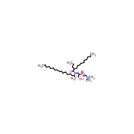 CCCCCCCCCCCCCCCC(C)N(CC(CO)[PH](=O)CCN(C)C)C(=O)C(CCC)CCCCCCCCCC